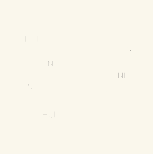 CC1(Cc2ccccc2)C(=O)Nc2nccc(-c3cccc(N4CCNCC4)c3)c21.Cl.Cl